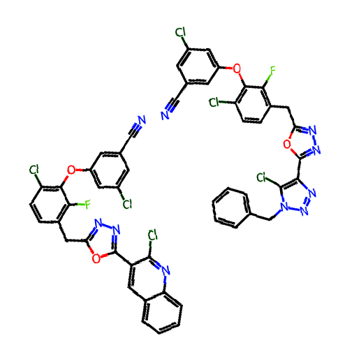 N#Cc1cc(Cl)cc(Oc2c(Cl)ccc(Cc3nnc(-c4cc5ccccc5nc4Cl)o3)c2F)c1.N#Cc1cc(Cl)cc(Oc2c(Cl)ccc(Cc3nnc(-c4nnn(Cc5ccccc5)c4Cl)o3)c2F)c1